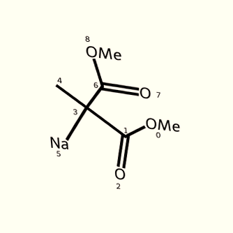 COC(=O)[C](C)([Na])C(=O)OC